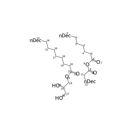 CCCCCCCCCCCCCCCC(=O)OC(=O)CCCCCCCCCCC.CCCCCCCCCCCCCCCCCC(=O)OCC(O)CO